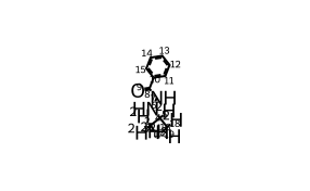 [2H]C([2H])([2H])C([2H])(NNC(=O)c1ccccc1)C([2H])([2H])[2H]